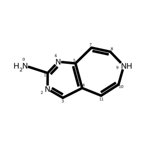 Nc1ncc2c(n1)C=CNC=C2